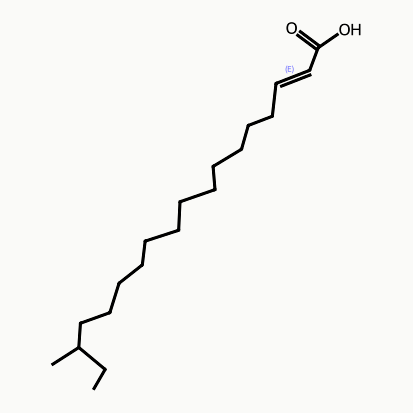 CCC(C)CCCCCCCCCCCC/C=C/C(=O)O